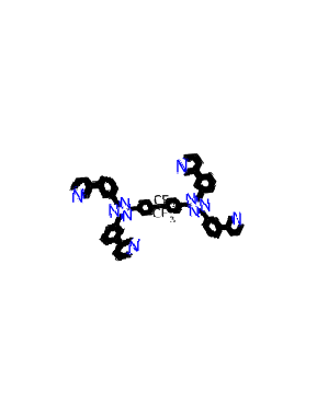 FC(F)(F)C(c1ccc(-c2nc(-c3cccc(-c4cccnc4)c3)nc(-c3cccc(-c4cccnc4)c3)n2)cc1)(c1ccc(-c2nc(-c3cccc(-c4cccnc4)c3)nc(-c3cccc(-c4cccnc4)c3)n2)cc1)C(F)(F)F